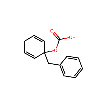 O=C(O)OC1(Cc2ccccc2)C=CCC=C1